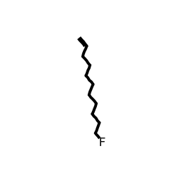 C=CCCCCCCCCCF